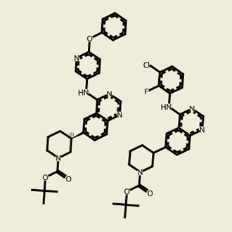 CC(C)(C)OC(=O)N1CCCC(c2ccc3ncnc(Nc4cccc(Cl)c4F)c3c2)C1.CC(C)(C)OC(=O)N1CCC[C@@H](c2ccc3ncnc(Nc4ccc(Oc5ccccc5)nc4)c3c2)C1